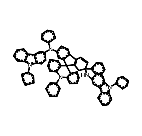 C1=CC(Nc2ccc3c(c2)c2ccccc2n3-c2ccccc2)(c2ccccc2)CC2=C1c1ccc(N(c3ccccc3)c3ccc4c(c3)c3ccccc3n4-c3ccccc3)cc1C21c2ccccc2N(c2ccccc2)c2ccccc21